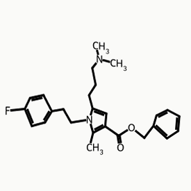 Cc1c(C(=O)OCc2ccccc2)cc(CCCN(C)C)n1CCc1ccc(F)cc1